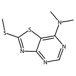 CSc1nc2ncnc(N(C)C)c2s1